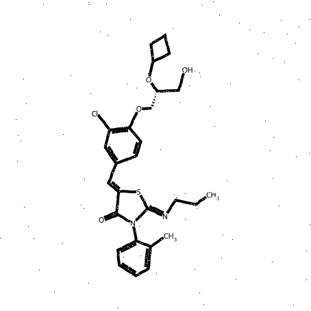 CCC/N=C1\S/C(=C\c2ccc(OC[C@@H](CO)OC3CCC3)c(Cl)c2)C(=O)N1c1ccccc1C